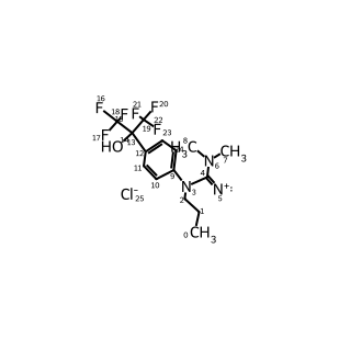 CCCN(C(=[N+])N(C)C)c1ccc(C(O)(C(F)(F)F)C(F)(F)F)cc1.[Cl-]